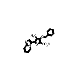 Cc1c(-c2cnc3ccccn23)sc(C(=O)O)c1OCc1ccccc1